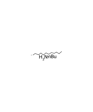 CCCCN.[CH2]CCCCCCCCCCC